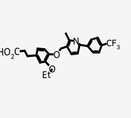 CCOc1cc(CCC(=O)O)ccc1OCc1ccc(-c2ccc(C(F)(F)F)cc2)nc1C